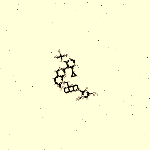 [2H]C([2H])([2H])Oc1ncnc(C2CC2)c1-c1ncc2ccc(=O)n(CC34C5C6C3C3C4C5C63c3nc(C(F)(F)F)cn3C(C)C)c2n1